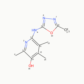 Cc1nc(Nc2nnc(C(F)(F)F)o2)c(C)c(C)c1O